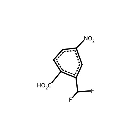 O=C(O)c1ccc([N+](=O)[O-])cc1C(F)F